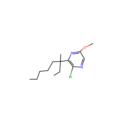 CCCCCC(C)(CC)c1nc(OC)cnc1Br